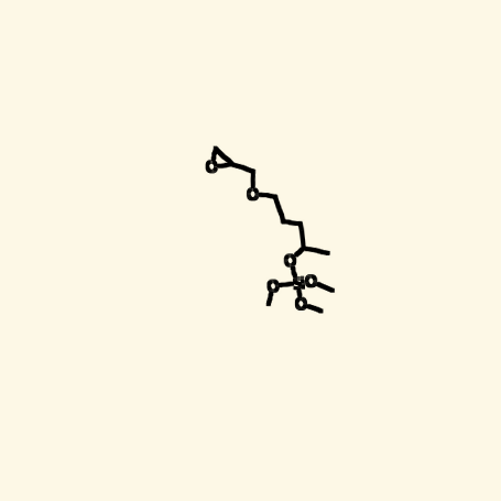 CO[Si](OC)(OC)OC(C)CCCOCC1CO1